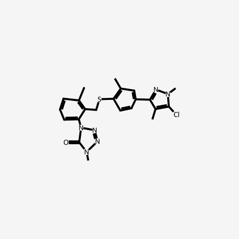 Cc1cc(-c2nn(C)c(Cl)c2C)ccc1SCc1c(C)cccc1-n1nnn(C)c1=O